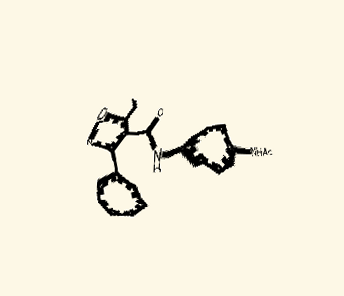 CC(=O)Nc1ccc(NC(=O)c2c(-c3ccccc3)noc2C)cc1